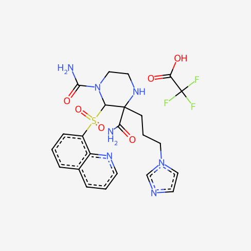 NC(=O)N1CCNC(CCCn2ccnc2)(C(N)=O)C1S(=O)(=O)c1cccc2cccnc12.O=C(O)C(F)(F)F